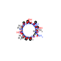 CCCC[C@H]1C(=O)N(C)CC(=O)N[C@@H](CC(=O)O)C(=O)N[C@@H](C)C(=O)N(C)[C@@H](Cc2ccccc2)C(=O)N[C@@H](Cc2ccc(O)cc2)C(=O)N2CCC[C@@H]2C(=O)N[C@@H](Cc2c[nH]c3ccccc23)C(=O)N[C@@H](Cc2ccc(O)cc2)C(=O)N[C@@H](CC(C)C)C(=O)N[C@H](C(=O)NCC(N)=O)CSCC(=O)N[C@@H](Cc2ccccc2)C(=O)N(C)[C@@H](Cc2ccccc2)C(=O)N1C